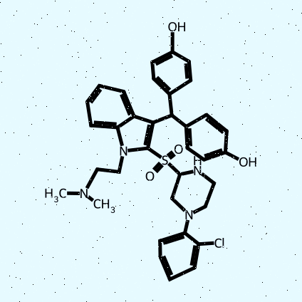 CN(C)CCn1c(S(=O)(=O)C2CN(c3ccccc3Cl)CCN2)c(C(c2ccc(O)cc2)c2ccc(O)cc2)c2ccccc21